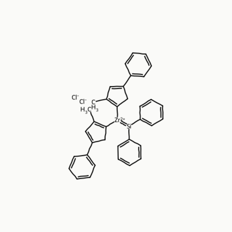 CC1=[C]([Zr+2]([C]2=C(C)C=C(c3ccccc3)C2)=[Si](c2ccccc2)c2ccccc2)CC(c2ccccc2)=C1.[Cl-].[Cl-]